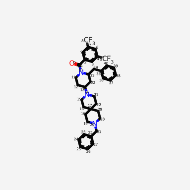 O=C(c1cc(C(F)(F)F)cc(C(F)(F)F)c1)N1CCC(N2CCC3(CCN(Cc4ccccc4)CC3)CC2)CC1Cc1ccccc1